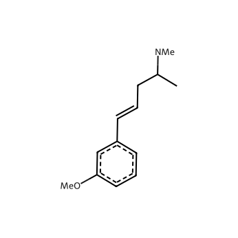 CNC(C)CC=Cc1cccc(OC)c1